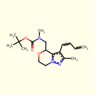 C=C/C=C\c1c(C)nn2c1C(CN(C)C(=O)OC(C)(C)C)OCC2